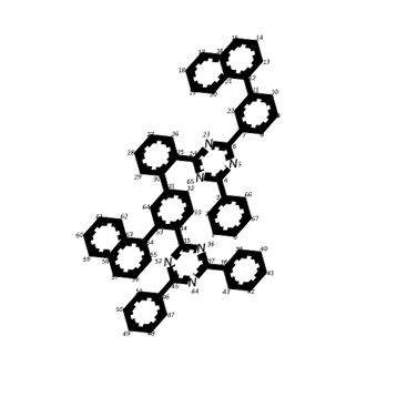 c1ccc(-c2nc(-c3cccc(-c4cccc5ccccc45)c3)nc(-c3ccccc3-c3ccc(-c4nc(-c5ccccc5)nc(-c5ccccc5)n4)c(-c4cccc5ccccc45)c3)n2)cc1